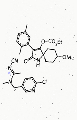 C/C(=N\C#N)N(C)Cc1ccc(Cl)nc1.CCOC(=O)OC1=C(c2cc(C)ccc2C)C(=O)N[C@]12CC[C@@H](OC)CC2